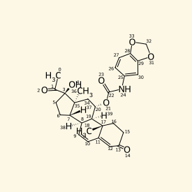 CC(=O)[C@@]1(O)CC[C@H]2[C@@H]3C=CC4=CC(=O)CC[C@@]4(C)[C@@H]3[C@@H](OC(=O)Nc3ccc4c(c3)OCO4)C[C@@]21C